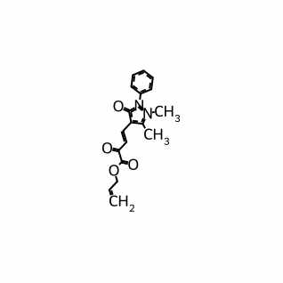 C=CCOC(=O)C(=O)/C=C/c1c(C)n(C)n(-c2ccccc2)c1=O